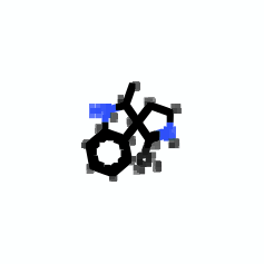 CC1Nc2ccccc2C12CCN=C2C(F)(F)F